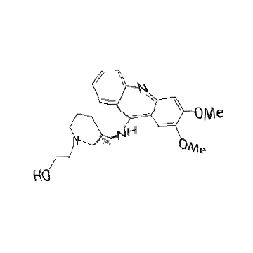 COc1cc2nc3ccccc3c(N[C@@H]3CCCN(CCO)C3)c2cc1OC